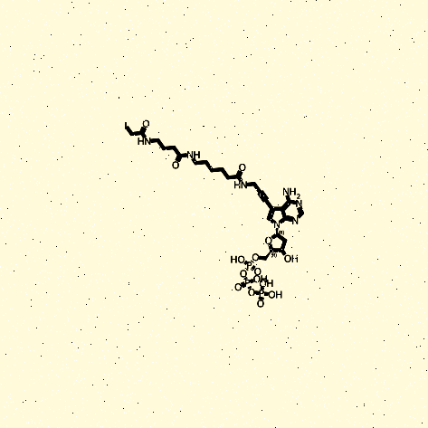 Nc1ncnc2c1c(C#CCNC(=O)CCCCCNC(=O)CCCNC(=O)CI)cn2[C@H]1CC(O)[C@@H](COP(=O)(O)OP(=O)(O)OP(=O)(O)O)O1